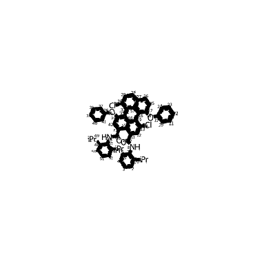 CC(C)c1cccc(C(C)C)c1NC(=O)c1cc(Cl)c2c3c(Oc4ccccc4)ccc4ccc(Cl)c(c5c(Oc6ccccc6)cc(C(=O)Nc6c(C(C)C)cccc6C(C)C)c1c25)c43